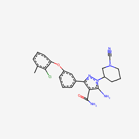 Cc1cccc(Oc2cccc(-c3nn(C4CCCN(C#N)C4)c(N)c3C(N)=O)c2)c1Cl